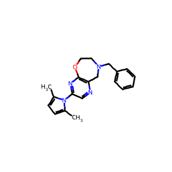 Cc1ccc(C)n1-c1cnc2c(n1)OCCN(Cc1ccccc1)C2